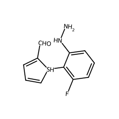 NNc1cccc(F)c1[SH]1C=CC=C1C=O